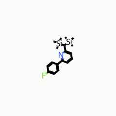 C[Si](C)(C)C(c1cccc(-c2ccc(F)cc2)n1)[Si](C)(C)C